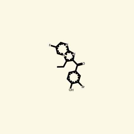 CCc1c(C(=O)c2ccc(O)c(Br)c2)nc2ncc(F)cn12